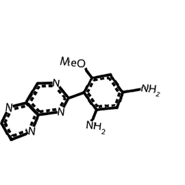 COc1cc(N)cc(N)c1-c1ncc2nccnc2n1